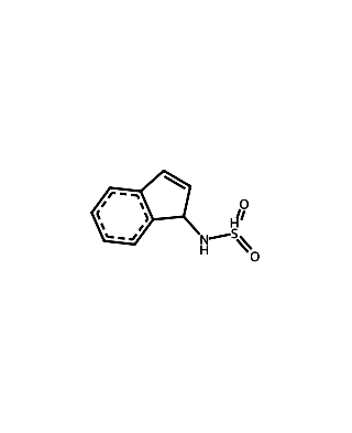 O=[SH](=O)NC1C=Cc2ccccc21